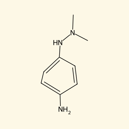 CN(C)Nc1ccc(N)cc1